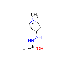 CB(O)NNC1CC2CC1CN2C